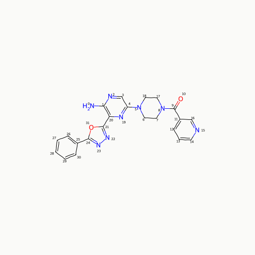 Nc1ncc(N2CCN(C(=O)c3cccnc3)CC2)nc1-c1nnc(-c2ccccc2)o1